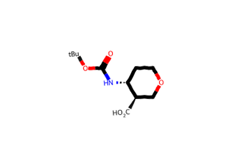 CC(C)(C)OC(=O)N[C@@H]1CCOC[C@H]1C(=O)O